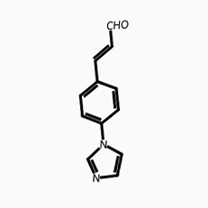 O=CC=Cc1ccc(-n2ccnc2)cc1